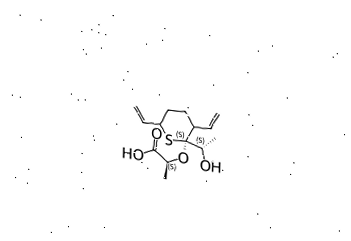 C=CC1CCC(C=C)[C@@](O[C@@H](C)C(=O)O)([C@H](C)O)S1